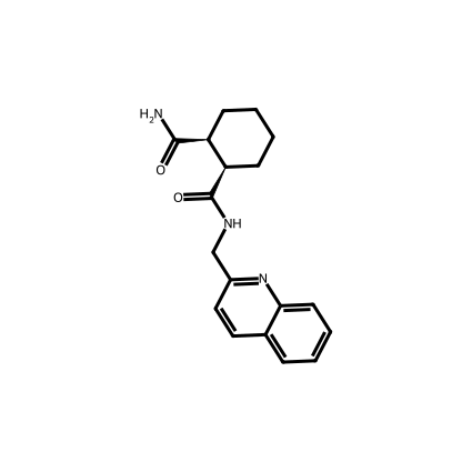 NC(=O)[C@H]1CCCC[C@H]1C(=O)NCc1ccc2ccccc2n1